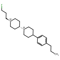 CCCc1ccc(C2CC[SiH]([C@H]3CC[Si@H](CCCF)CC3)CC2)cc1